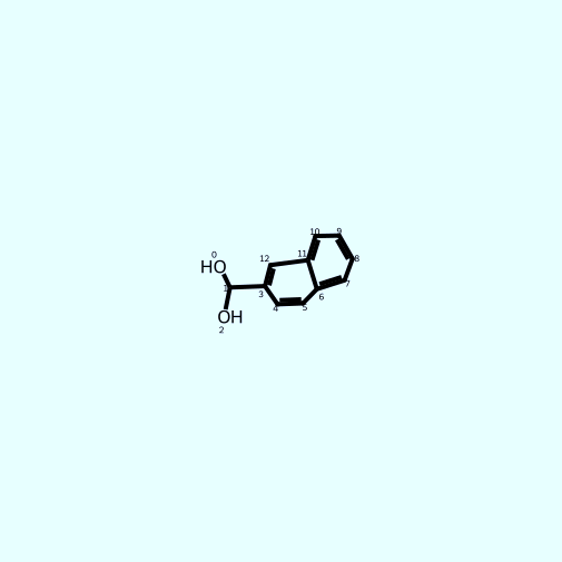 OC(O)c1ccc2ccccc2c1